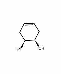 CC(C)[C@H]1CC=CC[C@H]1O